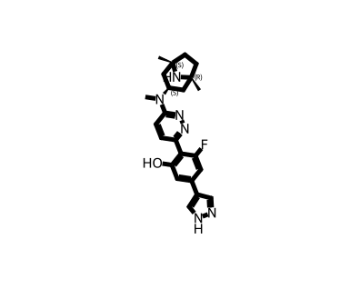 CN(c1ccc(-c2c(O)cc(-c3cn[nH]c3)cc2F)nn1)[C@H]1C[C@]2(C)CC[C@](C)(C1)N2